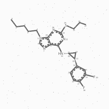 CCCCCn1cnc2c(N[C@@H]3C[C@H]3c3ccc(F)c(F)c3)nc(SCCC)nc21